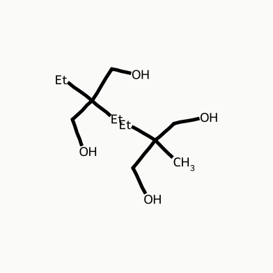 CCC(C)(CO)CO.CCC(CC)(CO)CO